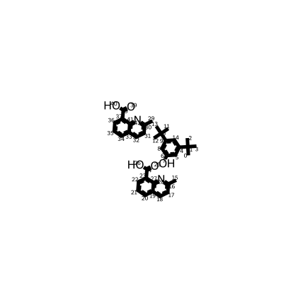 CC(C)(C)c1cc(O)cc(C(C)(C)C)c1.Cc1ccc2cccc(C(=O)O)c2n1.Cc1ccc2cccc(C(=O)O)c2n1